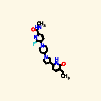 CCc1ccc(C2CCN(C3CCN(c4ccc(C(=O)NC)nc4F)CC3)C2)[nH]c1=O